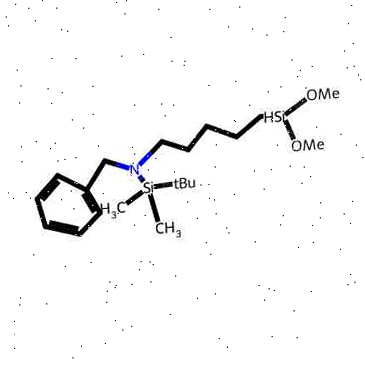 CO[SiH](CCCCCN(Cc1ccccc1)[Si](C)(C)C(C)(C)C)OC